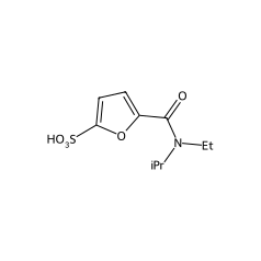 CCN(C(=O)c1ccc(S(=O)(=O)O)o1)C(C)C